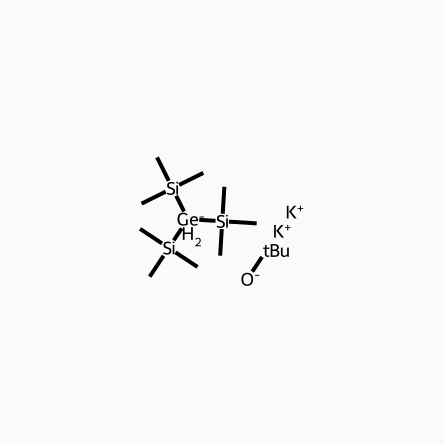 CC(C)(C)[O-].C[Si](C)(C)[GeH2-]([Si](C)(C)C)[Si](C)(C)C.[K+].[K+]